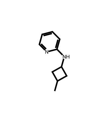 CC1CC(Nc2ccccn2)C1